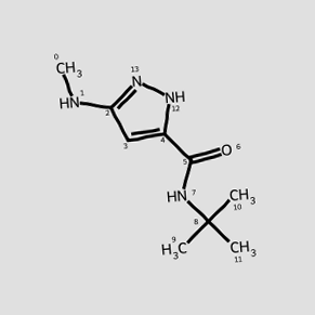 CNc1cc(C(=O)NC(C)(C)C)[nH]n1